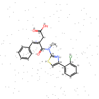 CN(C(=O)/C(=C\c1ccccc1)CC(=O)O)c1nc(-c2ccccc2Cl)cs1